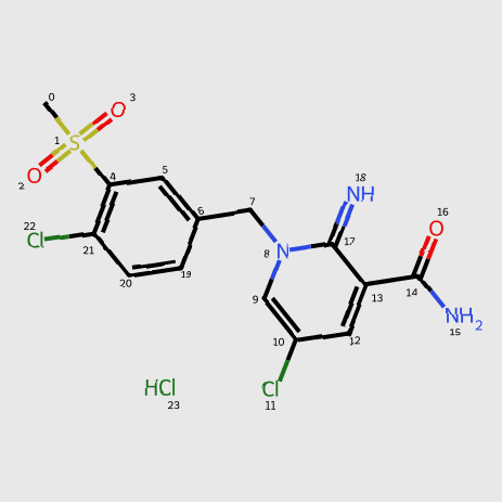 CS(=O)(=O)c1cc(Cn2cc(Cl)cc(C(N)=O)c2=N)ccc1Cl.Cl